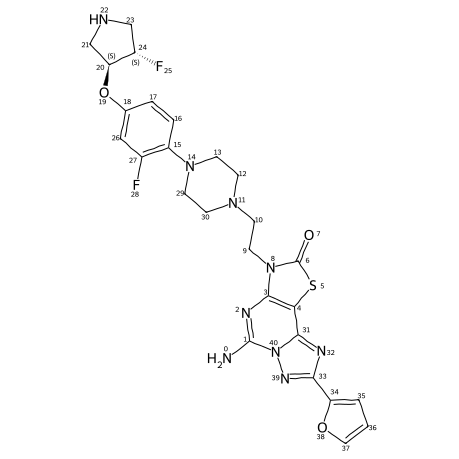 Nc1nc2c(sc(=O)n2CCN2CCN(c3ccc(O[C@H]4CNC[C@@H]4F)cc3F)CC2)c2nc(-c3ccco3)nn12